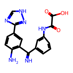 N=C(c1cccc(NC(=O)C(=O)O)c1)c1cc(-c2nc[nH]n2)ccc1N